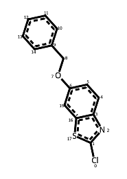 Clc1nc2ccc(OCc3ccccc3)cc2s1